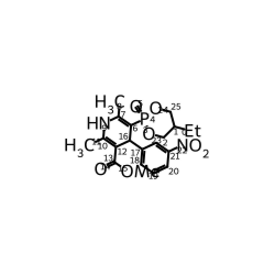 CCC1COP(=O)(C2=C(C)NC(C)=C(C(=O)OC)C2c2cccc([N+](=O)[O-])c2)OC1